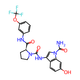 NC(=O)n1cc(NC(=O)N2CCC[C@H]2C(=O)Nc2cccc(OC(F)(F)F)c2)c2ccc(O)cc21